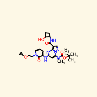 CN(C(=O)OC(C)(C)C)c1cc(Nc2cccn(CCOC3CC3)c2=O)nc2c(C(=O)NC3CCC3O)cnn12